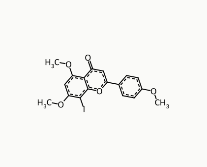 COc1ccc(-c2cc(=O)c3c(OC)cc(OC)c(I)c3o2)cc1